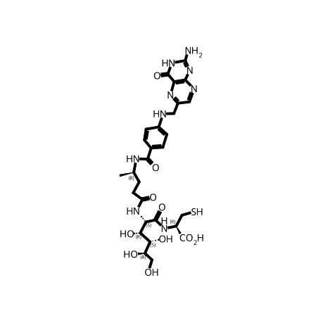 C[C@H](CCC(=O)N[C@H](C(=O)N[C@@H](CS)C(=O)O)[C@@H](O)[C@H](O)[C@H](O)CO)NC(=O)c1ccc(NCc2cnc3nc(N)[nH]c(=O)c3n2)cc1